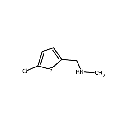 CNCc1ccc(Cl)s1